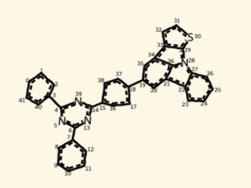 c1ccc(-c2nc(-c3ccccc3)nc(-c3ccc(-c4cc5c6ccccc6n6c7sccc7c(c4)c56)cc3)n2)cc1